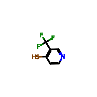 FC(F)(F)c1cnccc1S